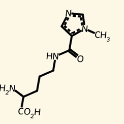 Cn1cncc1C(=O)NCCCC(N)C(=O)O